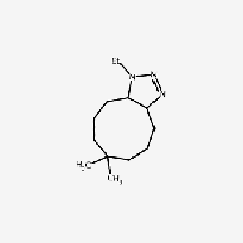 CCN1N=NC2CCCC(C)(C)CCCC21